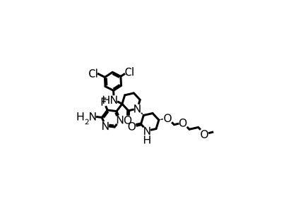 COCCOCO[C@@H]1CNC(=O)[C@H](N2CCCC(Nc3cc(Cl)cc(Cl)c3)(c3ncnc(N)c3F)C2=O)C1